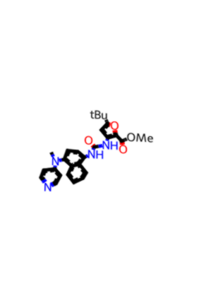 COC(=O)c1oc(C(C)(C)C)cc1NC(=O)Nc1ccc(N(C)c2ccncc2)c2ccccc12